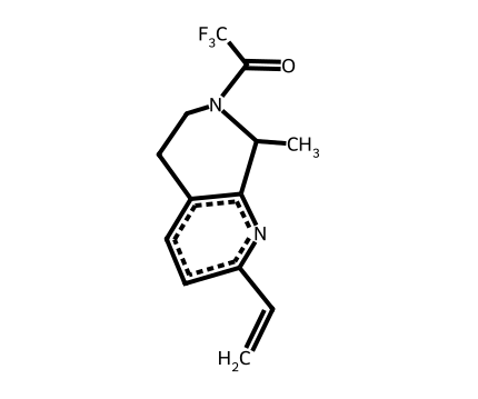 C=Cc1ccc2c(n1)C(C)N(C(=O)C(F)(F)F)CC2